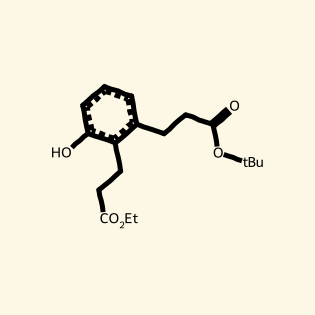 CCOC(=O)CCc1c(O)cccc1CCC(=O)OC(C)(C)C